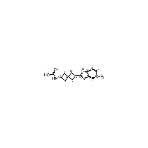 O=C(O)NC1CC2(C1)CC(c1nc3cc(Cl)cnc3o1)C2